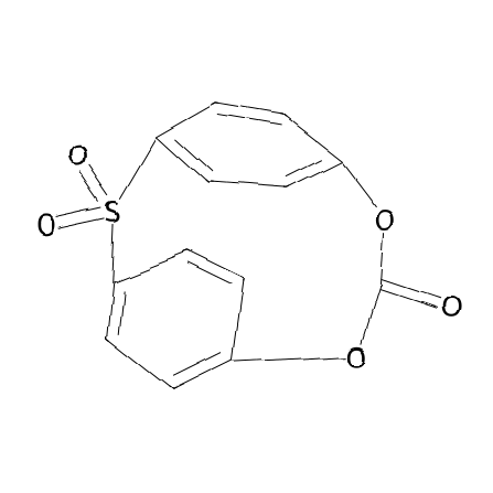 O=C1Oc2ccc(cc2)S(=O)(=O)c2ccc(cc2)O1